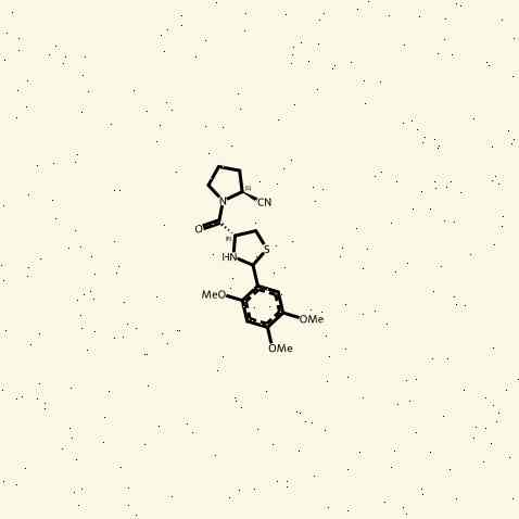 COc1cc(OC)c(C2N[C@H](C(=O)N3CCC[C@H]3C#N)CS2)cc1OC